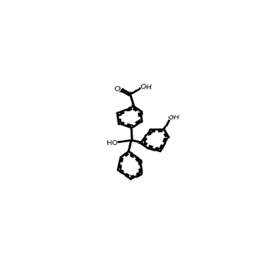 O=C(O)c1ccc(C(O)(c2ccccc2)c2cccc(O)c2)cc1